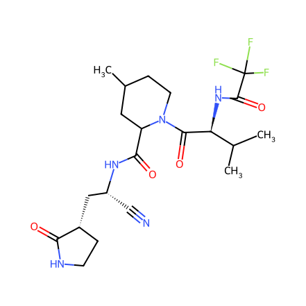 CC1CCN(C(=O)[C@@H](NC(=O)C(F)(F)F)C(C)C)C(C(=O)N[C@H](C#N)C[C@@H]2CCNC2=O)C1